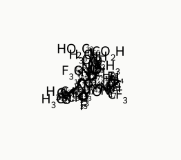 CC(CC(=O)O)(NC(=O)N(c1nn(CC(F)(F)F)c2c(-c3ccc(C#CC(C)(C)S(C)(=O)=O)nc3C(Cc3cc(F)cc(F)c3)NC(=O)Cn3nc(C(F)(F)F)c4c3C(F)(F)[C@@H]3C[C@H]43)ccc(Cl)c12)S(C)(=O)=O)C(=O)O